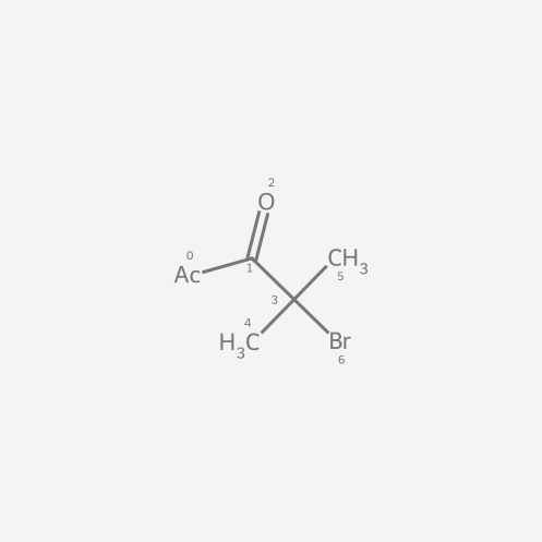 CC(=O)C(=O)C(C)(C)Br